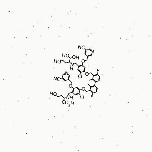 Cc1c(-c2ccc(F)c(COc3cc(OCc4cncc(C#N)c4)c(CNC(CCO)C(O)O)cc3Cl)c2C)ccc(F)c1COc1cc(OCc2cncc(C#N)c2)c(CNC(CCO)C(=O)O)cc1Cl